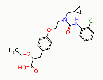 CCOC(Cc1ccc(OCCN(CC2CC2)C(=O)Nc2ccccc2Cl)cc1)C(=O)O